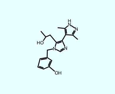 Cc1n[nH]c(C)c1-c1ncn(Cc2cccc(O)c2)c1CC(C)O